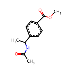 COC(=O)c1ccc(C(C)NC(C)=O)cc1